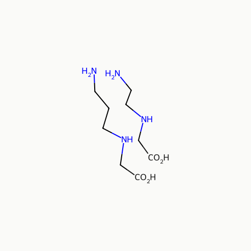 NCCCNCC(=O)O.NCCNCC(=O)O